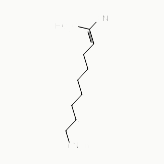 CCCCCCCCCCCCCCCCC=C(C#N)C(=O)O